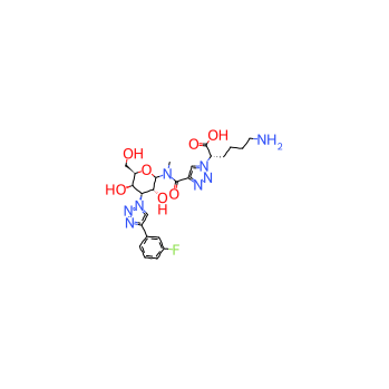 CN(C(=O)c1cn([C@@H](CCCCN)C(=O)O)nn1)C1O[C@H](CO)[C@H](O)[C@H](n2cc(-c3cccc(F)c3)nn2)[C@H]1O